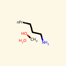 CCCCCCN.CO.O